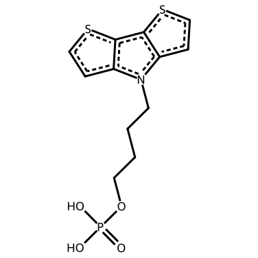 O=P(O)(O)OCCCCn1c2ccsc2c2sccc21